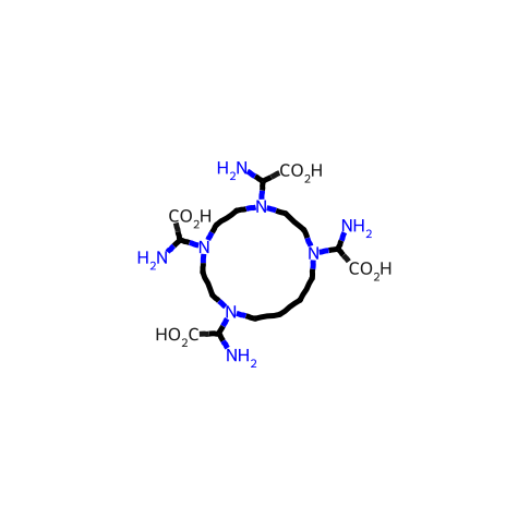 NC(C(=O)O)N1CCCCN(C(N)C(=O)O)CCN(C(N)C(=O)O)CCN(C(N)C(=O)O)CC1